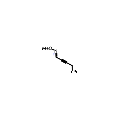 [CH2]CCCC#C/C=N/OC